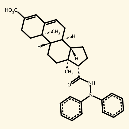 C[C@]12CC[C@H]3[C@@H](CC=C4C=C(C(=O)O)CC[C@@]43C)[C@@H]1CC[C@@H]2C(=O)NN(c1ccccc1)c1ccccc1